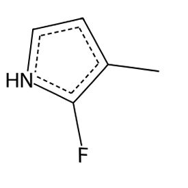 Cc1cc[nH]c1F